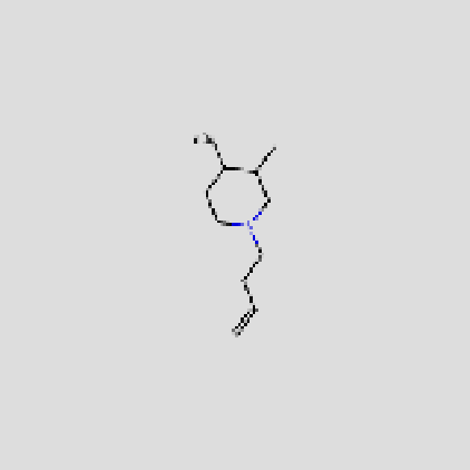 C=CCCN1CCC(CCCC)C(C)C1